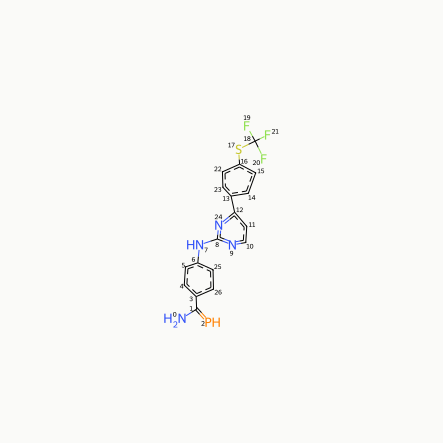 NC(=P)c1ccc(Nc2nccc(-c3ccc(SC(F)(F)F)cc3)n2)cc1